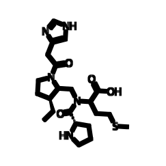 CC[C@H]1CCN(C(=O)Cc2c[nH]cn2)C1CN(C(=O)[C@@H]1CCCN1)C(CCSC)C(=O)O